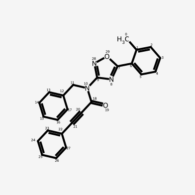 Cc1ccccc1-c1nc(N(Cc2ccccc2)C(=O)C#Cc2ccccc2)no1